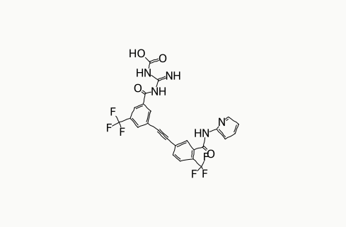 N=C(NC(=O)O)NC(=O)c1cc(C#Cc2ccc(C(F)(F)F)c(C(=O)Nc3ccccn3)c2)cc(C(F)(F)F)c1